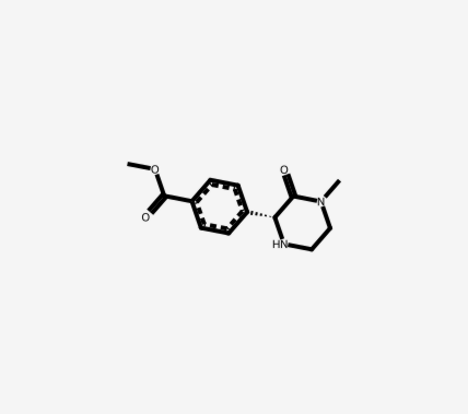 COC(=O)c1ccc([C@H]2NCCN(C)C2=O)cc1